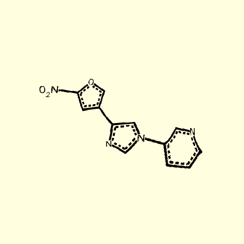 O=[N+]([O-])c1cc(-c2cn(-c3cccnc3)cn2)co1